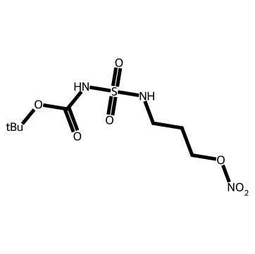 CC(C)(C)OC(=O)NS(=O)(=O)NCCCO[N+](=O)[O-]